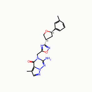 Cc1cccc([C@H]2C[C@H](c3noc(Cn4c(N)nn5ncc(C)c5c4=O)n3)CO2)c1